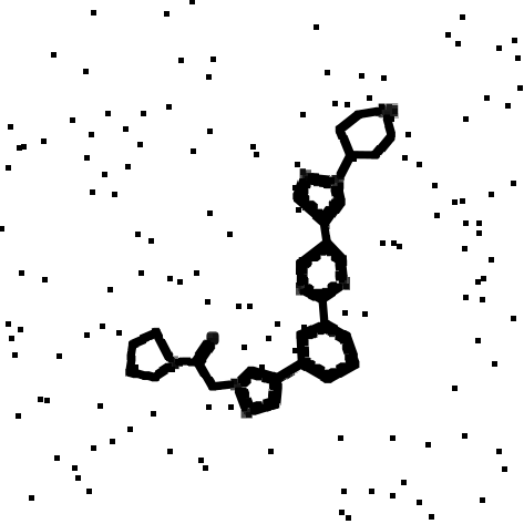 O=C(Cn1cc(-c2cccc(-c3ncc(-c4cnn(C5CCNCC5)c4)cn3)c2)cn1)N1CCCC1